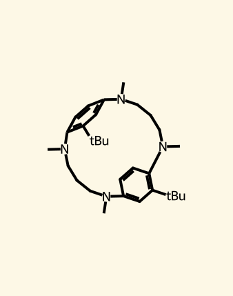 CN1CCCN(C)c2ccc(cc2C(C)(C)C)N(C)CCCN(C)c2ccc1cc2C(C)(C)C